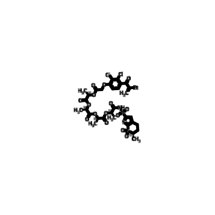 C=C(CC)C(=O)c1ccc(OCC(=O)O[C@H](C)C(=O)O[C@H](C)C(=O)O[C@H](C)C(=O)O[C@H](C)C(=O)NS(=O)(=O)c2cc3c(s2)S(=O)(=O)[C@@H](C)CC3)c(Cl)c1Cl